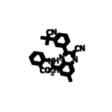 Cc1cc([C@@H](C)Nc2ccccc2C(=O)O)c2nc(-c3cccc(C(C)(C)C#N)c3)c(C#N)nc2c1